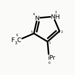 CC(C)c1[c][nH]nc1C(F)(F)F